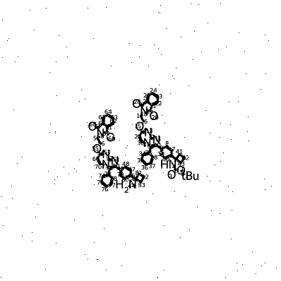 CC(C)(C)OC(=O)NC1(c2ccc(-c3nc4nc(OCCN5C(=O)c6ccccc6C5=O)ccn4c3-c3ccccc3)cc2)CCC1.NC1(c2ccc(-c3nc4nc(OCCN5C(=O)c6ccccc6C5=O)ccn4c3-c3ccccc3)cc2)CCC1